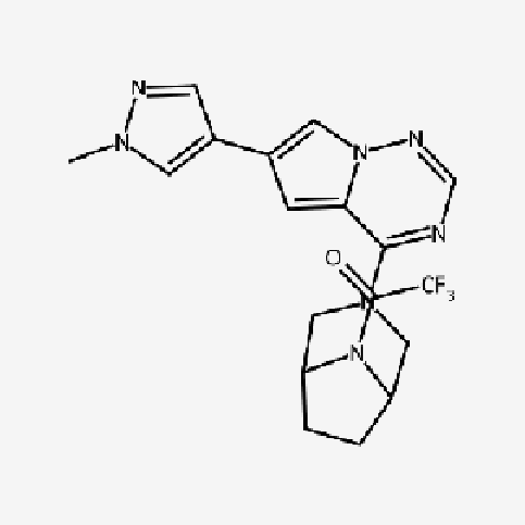 Cn1cc(-c2cc3c(N4CC5CCC(C4)N5C(=O)C(F)(F)F)ncnn3c2)cn1